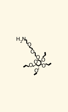 C=CCOC[C@H]1O[C@@H](OCCOCCOCCN)[C@H](OCC=C)[C@@H](OCC=C)[C@@H]1COC=C